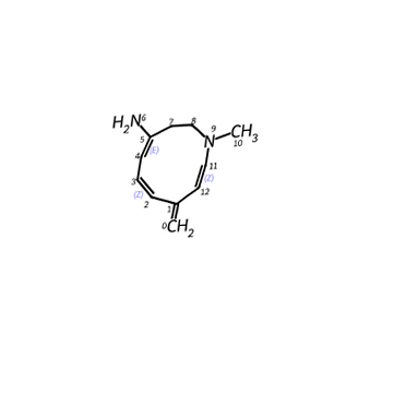 C=C1/C=C\C=C(\N)CCN(C)/C=C\1